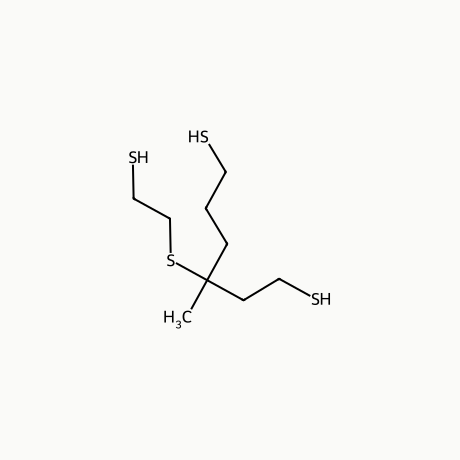 CC(CCS)(CCCS)SCCS